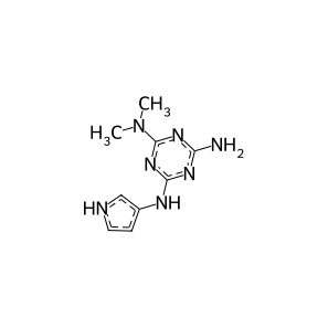 CN(C)c1nc(N)nc(Nc2cc[nH]c2)n1